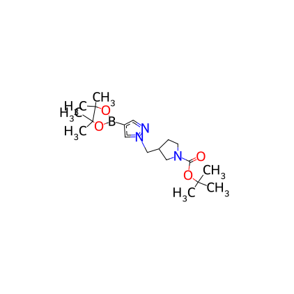 CC(C)(C)OC(=O)N1CCC(Cn2cc(B3OC(C)(C)C(C)(C)O3)cn2)C1